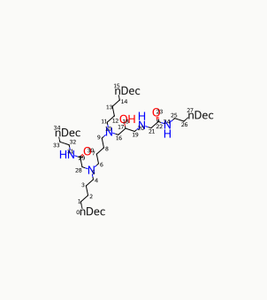 CCCCCCCCCCCCCCN(CCCCN(CCCCCCCCCCCCCC)CC(O)CNCC(=O)NCCCCCCCCCCCC)CC(=O)NCCCCCCCCCCCC